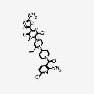 CC[C@H]1CN(c2c(Cl)nc(-c3nnc(N)o3)c(=O)n2C)CCN1C1CCN(C(=O)c2ccc(Cl)nc2N)CC1